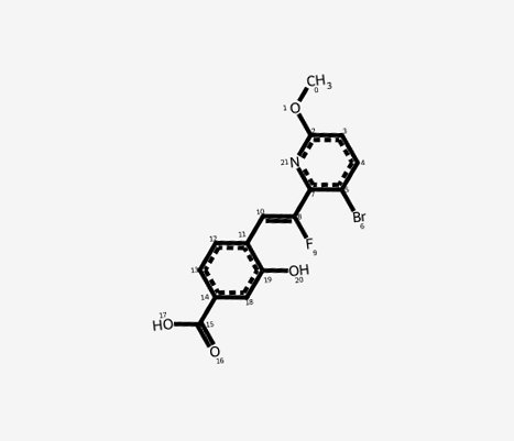 COc1ccc(Br)c(C(F)=Cc2ccc(C(=O)O)cc2O)n1